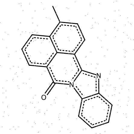 Cc1ccc2c3c1cccc3c(=O)n1c3ccccc3nc21